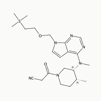 C[C@@H]1CCN(C(=O)CC#N)C[C@@H]1N(C)c1ncnc2c1ccn2COCCS(C)(C)C